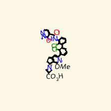 COc1nc(-c2cccc(-c3cccc(NC(=O)c4ccnn(C)c4=O)c3Cl)c2Cl)cc2c1[C@H](N1CC(C(=O)O)C1)CC2